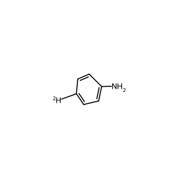 [2H]c1ccc(N)cc1